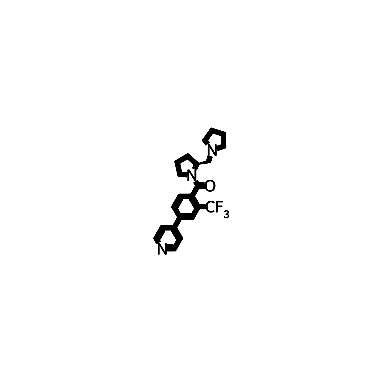 O=C(c1ccc(-c2ccncc2)cc1C(F)(F)F)N1CCC[C@H]1CN1CCCC1